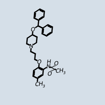 Cc1ccc(OCCCN2CCC(OC(c3ccccc3)c3ccccc3)CC2)c(NS(C)(=O)=O)c1